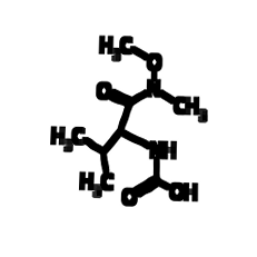 CON(C)C(=O)C(NC(=O)O)C(C)C